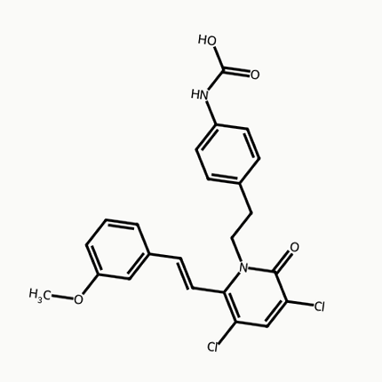 COc1cccc(C=Cc2c(Cl)cc(Cl)c(=O)n2CCc2ccc(NC(=O)O)cc2)c1